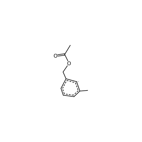 CC(=O)OCc1[c]c(C)ccc1